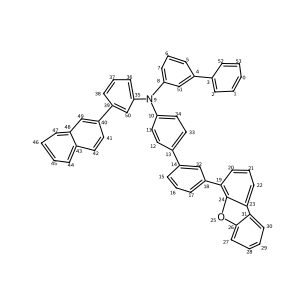 c1ccc(-c2cccc(N(c3ccc(-c4cccc(-c5cccc6c5oc5ccccc56)c4)cc3)c3cccc(-c4ccc5ccccc5c4)c3)c2)cc1